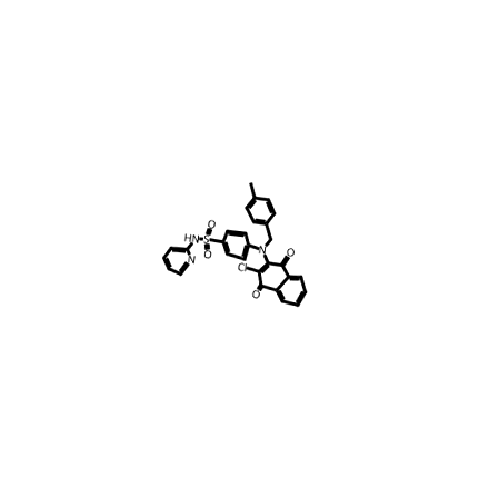 Cc1ccc(CN(C2=C(Cl)C(=O)c3ccccc3C2=O)c2ccc(S(=O)(=O)Nc3ccccn3)cc2)cc1